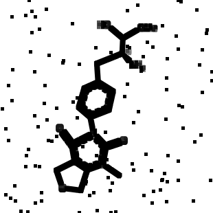 COC(O)[C@@H](N)Cc1ccc(-n2c(=O)c3c(n(C)c2=O)COC3)cc1